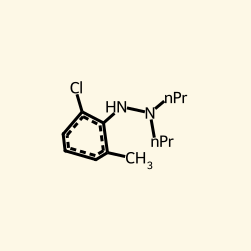 CCCN(CCC)Nc1c(C)cccc1Cl